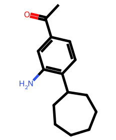 CC(=O)c1ccc(C2CCCCCC2)c(N)c1